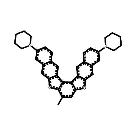 Cc1cc2oc3cc4cc(N5CCCCC5)ccc4cc3c2c2c1oc1cc3cc(N4CCCCC4)ccc3cc12